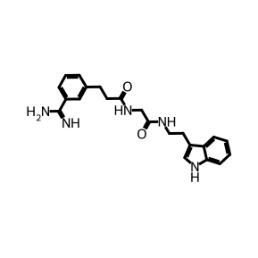 N=C(N)c1cccc(CCC(=O)NCC(=O)NCCc2c[nH]c3ccccc23)c1